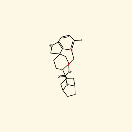 CCCNC(=O)N1C2CCC1CC(N1CCC3(CC1)CNc1ccc(F)cc13)C2